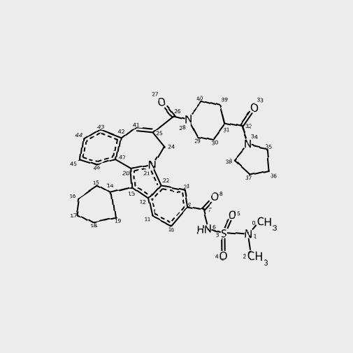 CN(C)S(=O)(=O)NC(=O)c1ccc2c(C3CCCCC3)c3n(c2c1)CC(C(=O)N1CCC(C(=O)N2CCCC2)CC1)=Cc1ccccc1-3